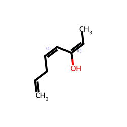 C=CC/C=C\C(O)=C/C